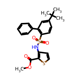 COC(=O)c1sccc1NS(=O)(=O)c1ccc(C(C)(C)C)cc1-c1ccccc1